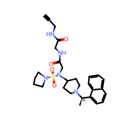 C#CCNC(=O)CNC(=O)CN(C1CCN([C@H](C)c2cccc3ccccc23)CC1)S(=O)(=O)N1CCCC1